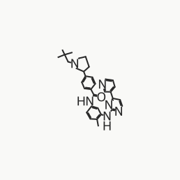 Cc1ccc(NC(=O)c2ccc(C3CCCN(CC(C)(C)C)C3)cc2)cc1Nc1nccc(-c2cccnc2)n1